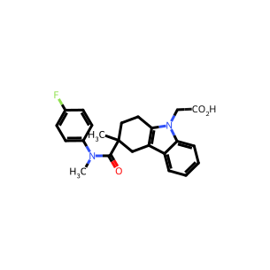 CN(C(=O)C1(C)CCc2c(c3ccccc3n2CC(=O)O)C1)c1ccc(F)cc1